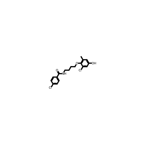 Cc1cc(O)cc(Cl)c1OCCCCNC(=O)c1ccc(Cl)cc1